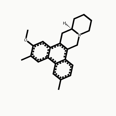 COc1cc2c3c(c4ccc(C)cc4c2cc1C)CN1CCCC[C@@H]1C3